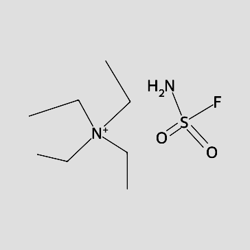 CC[N+](CC)(CC)CC.NS(=O)(=O)F